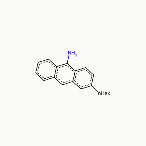 CCCCCCc1ccc2c(N)c3ccccc3cc2c1